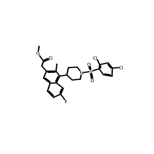 COC(=O)Cc1cc2ccc(F)cc2c(C2CCN(S(=O)(=O)c3ccc(Cl)cc3Cl)CC2)c1C